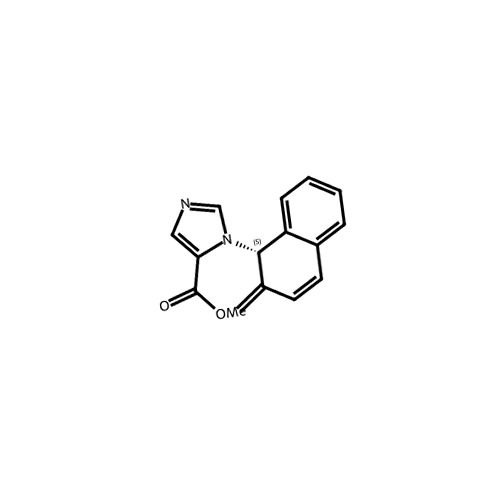 C=C1C=Cc2ccccc2[C@H]1n1cncc1C(=O)OC